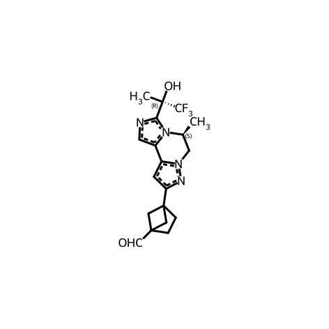 C[C@H]1Cn2nc(C34CCC(C=O)(C3)C4)cc2-c2cnc([C@@](C)(O)C(F)(F)F)n21